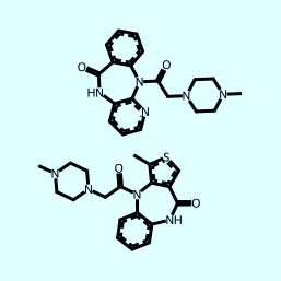 CN1CCN(CC(=O)N2c3ccccc3C(=O)Nc3cccnc32)CC1.Cc1scc2c1N(C(=O)CN1CCN(C)CC1)c1ccccc1NC2=O